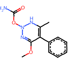 COC1=NN(OC(N)=O)NC(C)=C1c1ccccc1